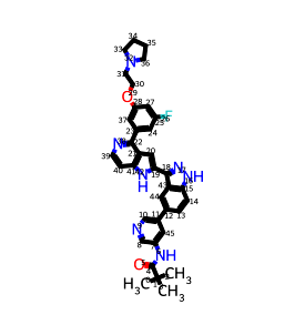 CC(C)(C)C(=O)Nc1cncc(-c2ccc3[nH]nc(-c4cc5c(-c6cc(F)cc(OCCN7CCCC7)c6)nccc5[nH]4)c3c2)c1